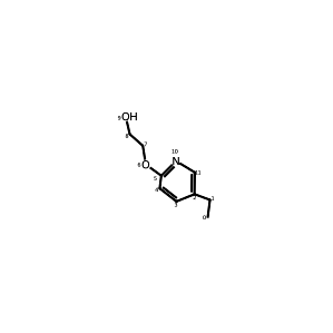 CCc1ccc(OCCO)nc1